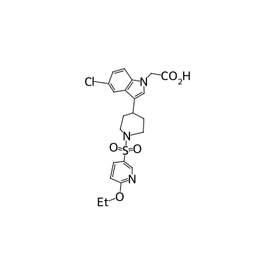 CCOc1ccc(S(=O)(=O)N2CCC(c3cn(CC(=O)O)c4ccc(Cl)cc34)CC2)cn1